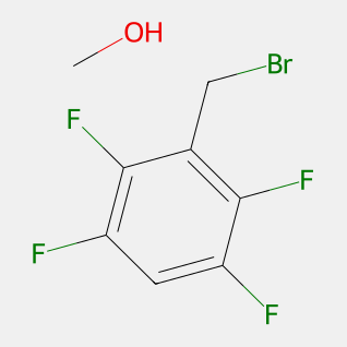 CO.Fc1cc(F)c(F)c(CBr)c1F